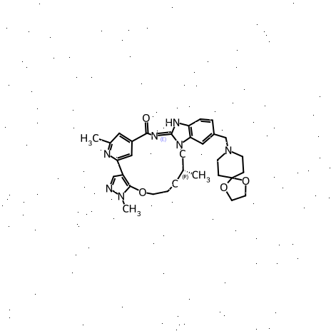 Cc1cc2cc(n1)-c1cnn(C)c1OCCC[C@@H](C)CN1/C(=N/C2=O)Nc2ccc(CN3CCC4(CC3)OCCO4)cc21